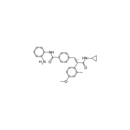 COc1ccc(/C(=C\c2ccc(C(=O)Nc3ccccc3N)cc2)C(=O)NC2CC2)c(C)c1